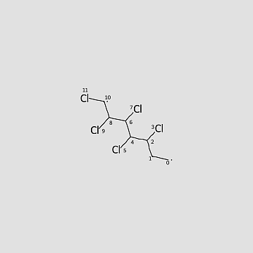 [CH2]CC(Cl)C(Cl)C(Cl)C(Cl)[CH]Cl